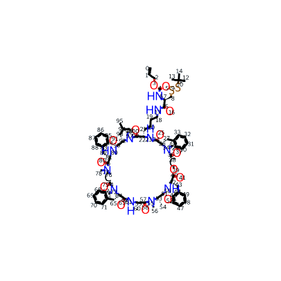 C=CCOC(=O)N[C@@H](CSSC(C)(C)C)C(=O)NCCCC[C@@H]1NC(=O)[C@H](Cc2ccccc2)N(C)C(=O)COC(=O)[C@H](Cc2ccccc2)NC(=O)[C@H](C)N(C)C(=O)[C@H](C)NC(=O)[C@H](Cc2ccccc2)N(C)C(=O)CN(C)C(=O)[C@H](Cc2ccccc2)NC(=O)[C@H](CC(C)C)N(C)C1=O